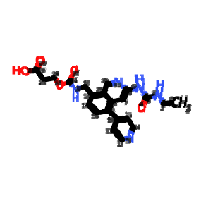 CCNC(=O)Nc1cc2c(-c3ccncc3)ccc(CNC(=O)OCCC(=O)O)c2cn1